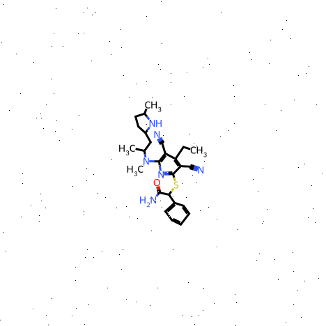 CCc1c(C#N)c(SC(C(N)=O)c2ccccc2)nc(N(C)C(C)CC2CCC(C)N2)c1C#N